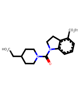 CCOC(=O)c1cccc2c1CCN2C(=O)N1CCC(CC(=O)O)CC1